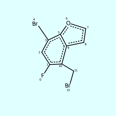 Fc1cc(Br)c2occc2c1CBr